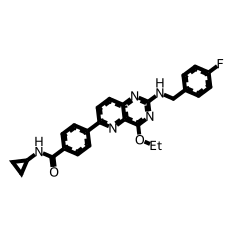 CCOc1nc(NCc2ccc(F)cc2)nc2ccc(-c3ccc(C(=O)NC4CC4)cc3)nc12